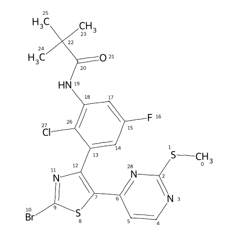 CSc1nccc(-c2sc(Br)nc2-c2cc(F)cc(NC(=O)C(C)(C)C)c2Cl)n1